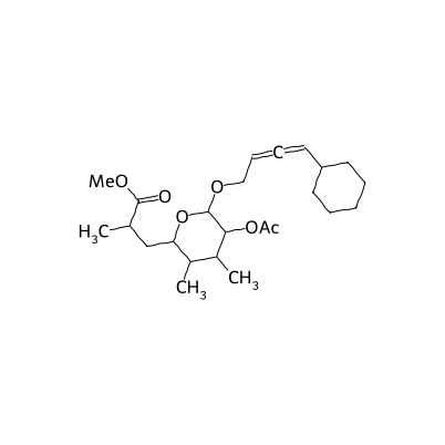 COC(=O)C(C)CC1OC(OCC=C=CC2CCCCC2)C(OC(C)=O)C(C)C1C